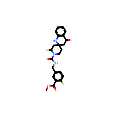 COC(=O)c1cc(CNC(=O)N2CCC3(CC(=O)c4ccccc4N3)CC2F)ccc1F